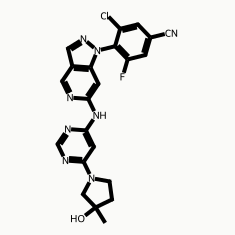 CC1(O)CCN(c2cc(Nc3cc4c(cn3)cnn4-c3c(F)cc(C#N)cc3Cl)ncn2)C1